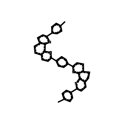 Cc1ccc(-c2ccc3ccc4ccc(-c5ccc(-c6ccc7ccc8ccc(-c9ccc(C)cc9)nc8c7n6)cc5)nc4c3n2)cc1